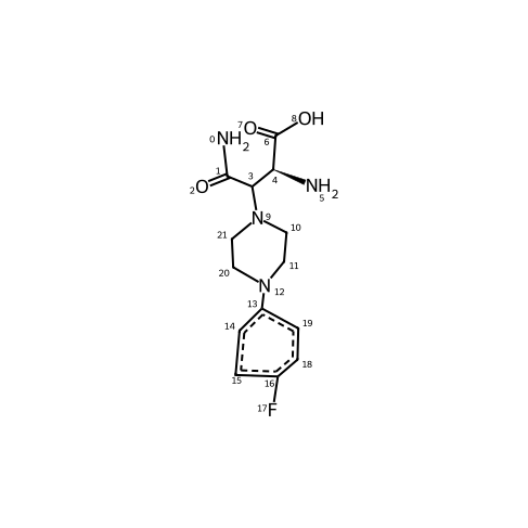 NC(=O)C([C@H](N)C(=O)O)N1CCN(c2ccc(F)cc2)CC1